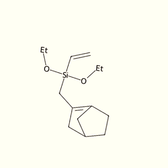 C=C[Si](CC1=C2CCC(C2)C1)(OCC)OCC